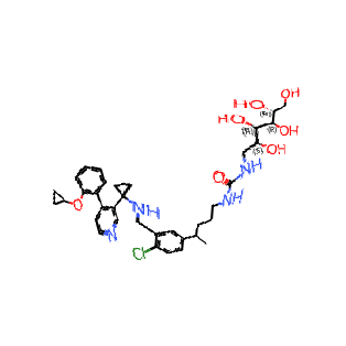 CC(CCCNC(=O)NC[C@H](O)[C@@H](O)[C@H](O)[C@H](O)CO)c1ccc(Cl)c(CNC2(c3cnccc3-c3ccccc3OC3CC3)CC2)c1